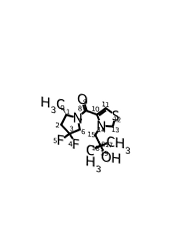 C[C@H]1CC(F)(F)CN1C(=O)C1=CSCN1CC(C)(C)O